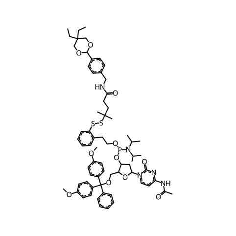 CCC1(CC)COC(c2ccc(CNC(=O)CCC(C)(C)SSc3ccccc3CCOP(OC3CC(n4ccc(NC(C)=O)nc4=O)OC3COC(c3ccccc3)(c3ccc(OC)cc3)c3ccc(OC)cc3)N(C(C)C)C(C)C)cc2)OC1